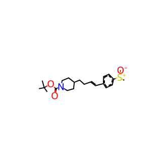 C[S+]([O-])c1ccc(/C=C/CCC2CCN(C(=O)OC(C)(C)C)CC2)cc1